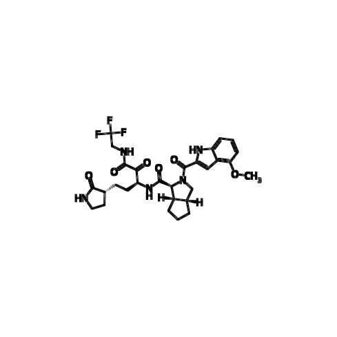 COc1cccc2[nH]c(C(=O)N3C[C@@H]4CCC[C@@H]4[C@H]3C(=O)N[C@@H](CC[C@@H]3CCNC3=O)C(=O)C(=O)NCC(F)(F)F)cc12